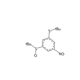 CC(C)(C)Sc1cc(N=O)cc([S+]([O-])C(C)(C)C)c1